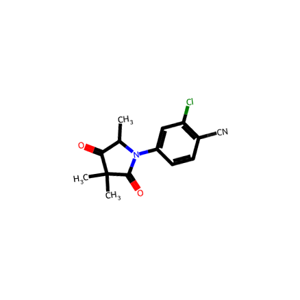 CC1C(=O)C(C)(C)C(=O)N1c1ccc(C#N)c(Cl)c1